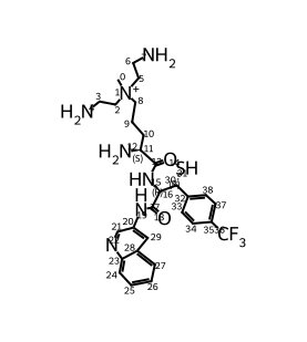 C[N+](CCN)(CCN)CCC[C@H](N)C(=O)N[C@H](C(=O)Nc1cnc2ccccc2c1)[C@H](S)c1ccc(C(F)(F)F)cc1